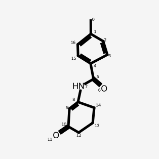 Cc1ccc(C(=O)NC2=CC(=O)CCC2)cc1